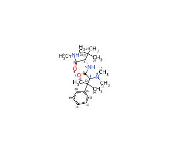 CNC(=O)[C@@H](NC(=O)[C@@H](N(C)C)C(C)(C)c1ccccc1)C(C)(C)C